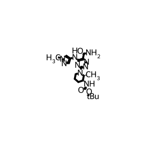 C[C@@H]1[C@H](NC(=O)OC(C)(C)C)CCCN1c1nnc(C(N)=O)c(Nc2cnn(C)c2)n1